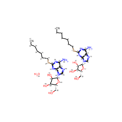 N#CCCCCCCSc1nc(N)c2ncn([C@@H]3O[C@H](CO)[C@@H](O)[C@H]3O)c2n1.N#CCCCCCCSc1nc(N)c2ncn([C@@H]3O[C@H](CO)[C@@H](O)[C@H]3O)c2n1.O